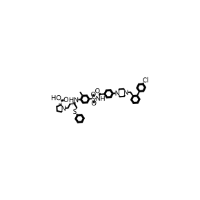 Cc1cc(S(=O)(=O)NC(=O)c2ccc(N3CCN(Cc4ccccc4-c4ccc(Cl)cc4)CC3)cc2)ccc1N[C@H](CCN1CCC[C@@H]1C(=O)O)CSc1ccccc1